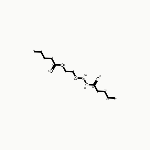 CCCCC(=O)OCCSSOC(=O)CCCC